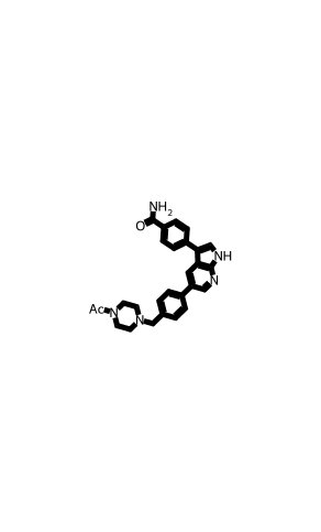 CC(=O)N1CCN(Cc2ccc(-c3cnc4[nH]cc(-c5ccc(C(N)=O)cc5)c4c3)cc2)CC1